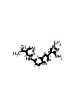 CC(C)c1cnnc(Nc2ccc3ncc(-c4cn(C)nc4N)cc3n2)c1